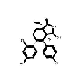 CC[C@@]12CC[C@@H](c3ccc(O)cc3Cl)[C@H](c3ccc(Cl)cc3)[C@@H]1C(O)NC2=O